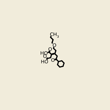 CCCCOCCC(CC(=O)C1CCCCC1)=C(CC(=O)O)C(=O)O